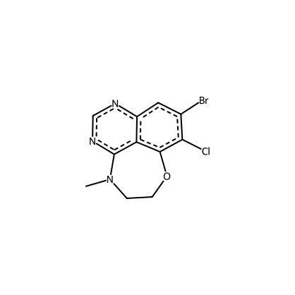 CN1CCOc2c(Cl)c(Br)cc3ncnc1c23